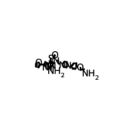 NCCOc1ccc(N2CCN(CCn3c(=O)sc4c3nc(N)n3nc(-c5ccco5)cc43)CC2)cc1